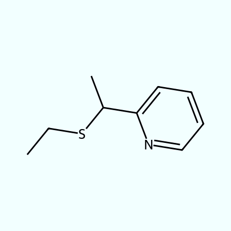 CCSC(C)c1ccccn1